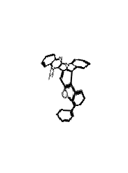 C1=CCCC(c2cccc3c2oc2cc4c5c(n6c7ccccc7c(c23)c46)N=C2C=CC=CC2N5)=C1